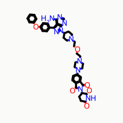 Nc1ncnc2c1c(-c1ccc(Oc3ccccc3)cc1)nn2C1CCN(CCOCCN2CCN(c3ccc4c(c3)C(=O)N(C3CCC(=O)NC3=O)C4=O)CC2)CC1